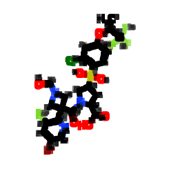 C[C@H](Oc1ccc(S(=O)(=O)C2CC(C(=O)O)N(C(=O)C3(c4ncc(Br)cc4F)CN(C=O)C3)C2)c(Cl)c1)C(F)(F)F